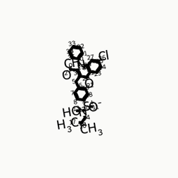 CC(=O)c1c(Cc2ccc([S+]([O-])N(O)CC(C)C)cc2)c(=O)c2ccc(Cl)cc2n1-c1ccccc1